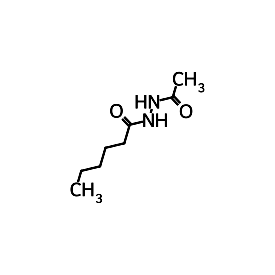 CCCCCC(=O)NNC(C)=O